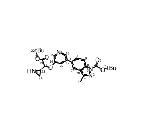 Cc1nn(C(=O)OC(C)(C)C)c2ccc(-c3cncc(OC(C(=O)OC(C)(C)C)[C@H]4CN4)c3)cc12